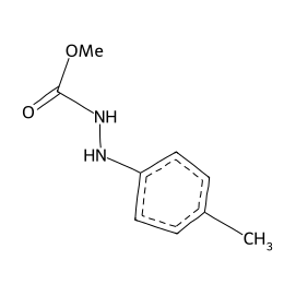 COC(=O)NNc1ccc(C)cc1